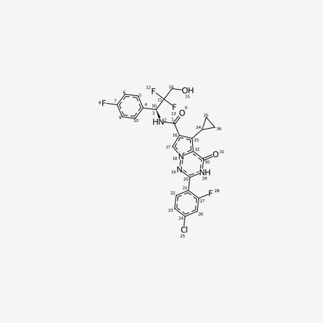 O=C(N[C@@H](c1ccc(F)cc1)C(F)(F)CO)c1cn2nc(-c3ccc(Cl)cc3F)[nH]c(=O)c2c1C1CC1